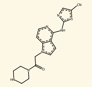 N#Cc1cnc(Nc2nccc3c2ccn3CC(=O)N2CCNCC2)s1